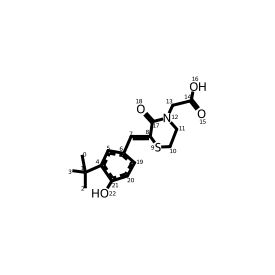 CC(C)(C)c1cc(/C=C2\SCCN(CC(=O)O)C2=O)ccc1O